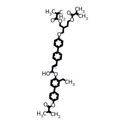 C=C(C)C(=O)OCCC(COC(=O)C(=C)C)COc1ccc(-c2ccc(/C=C/C(O)Oc3ccc(-c4ccc(OC(=O)C(=C)C)cc4)cc3CC)cc2)cc1